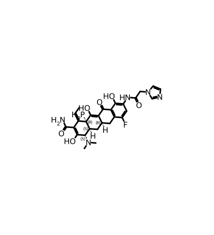 CC=C1C(C(N)=O)=C(O)[C@@H](N(C)C)[C@@H]2C[C@@H]3Cc4c(F)cc(NC(=O)Cn5ccnc5)c(O)c4C(=O)C3=C(O)[C@]12P